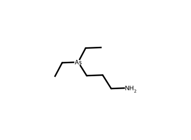 CC[As](CC)CCCN